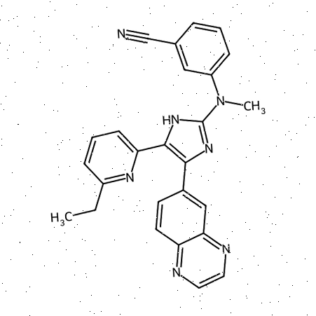 CCc1cccc(-c2[nH]c(N(C)c3cccc(C#N)c3)nc2-c2ccc3nccnc3c2)n1